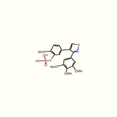 COc1ccc(-c2csnc2-c2cc(OC)c(OC)c(OC)c2)cc1SP(=O)(O)O